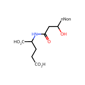 CCCCCCCCCC(O)CC(=O)NC(CCC(=O)O)C(=O)O